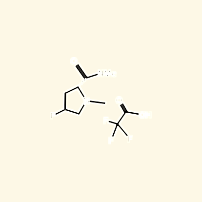 CNC(=O)[C@H]1CC(F)CN1C.O=C(O)C(F)(F)F